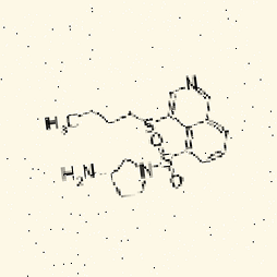 CCCCSc1cncc2cccc(S(=O)(=O)N3CC[C@H](N)C3)c12